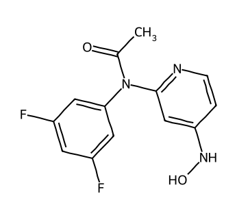 CC(=O)N(c1cc(F)cc(F)c1)c1cc(NO)ccn1